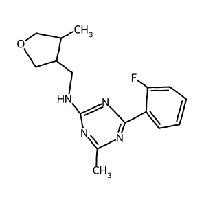 Cc1nc(NCC2COCC2C)nc(-c2ccccc2F)n1